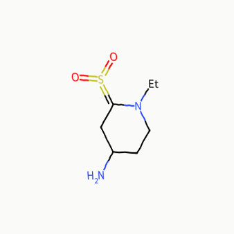 CCN1CCC(N)CC1=S(=O)=O